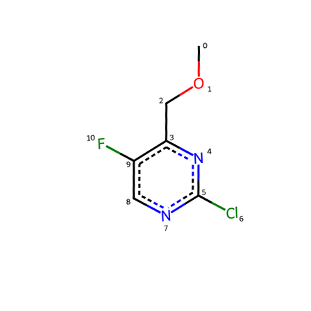 COCc1nc(Cl)ncc1F